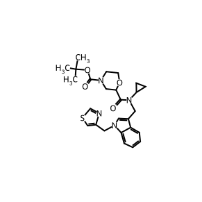 CC(C)(C)OC(=O)N1CCOC(C(=O)N(Cc2cn(Cc3cscn3)c3ccccc23)C2CC2)C1